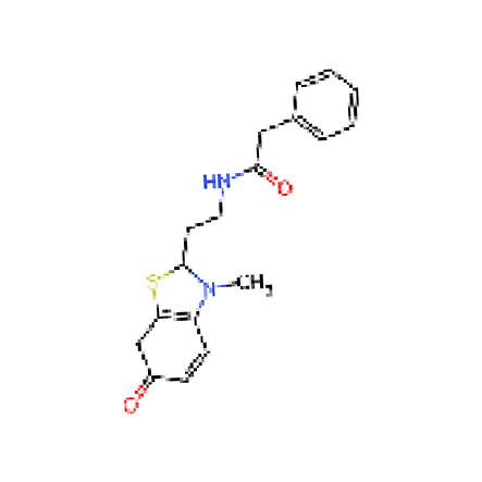 CN1C2=C(CC(=O)C=C2)SC1CCNC(=O)Cc1ccccc1